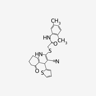 Cc1ccc(C)c(NC(=O)CSC2=C(C#N)C(c3cccs3)C3=C(CCCC3=O)N2)c1